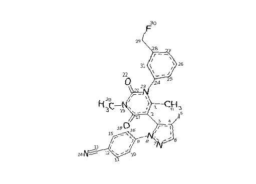 Cc1c(-c2c(I)cnn2-c2ccc(C#N)cc2)c(=O)n(C)c(=O)n1-c1cccc(CF)c1